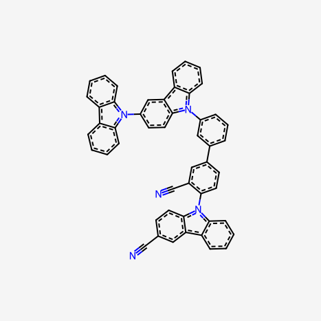 N#Cc1ccc2c(c1)c1ccccc1n2-c1ccc(-c2cccc(-n3c4ccccc4c4cc(-n5c6ccccc6c6ccccc65)ccc43)c2)cc1C#N